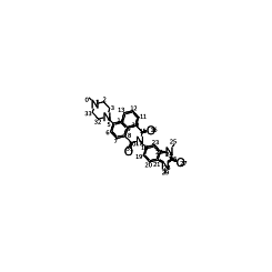 CN1CCN(c2ccc3c4c(cccc24)C(=O)N(c2ccc4c(c2)n(C)c(=O)n4C)C3=O)CC1